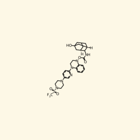 O=C(NC1[C@@H]2CC3C[C@H]1CC(O)(C3)C2)ON1CCN(c2ccc(N3CCN(S(=O)(=O)C(F)(F)F)CC3)cn2)c2ccccc21